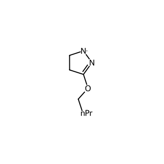 CCCCOC1=N[N]CC1